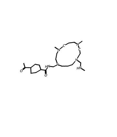 CNCN1CCCN(CNC(=O)C2CCC(C(C)=O)CC2)CCN(C)CCCN(C)CC1